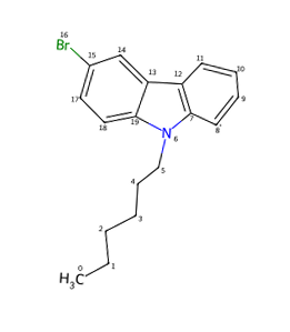 CCCCCCn1c2[c]cccc2c2cc(Br)ccc21